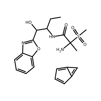 CCC(NC(=O)C(C)(N)S(C)(=O)=O)C(O)c1nc2ccccc2o1.c1cc2cc-2c1